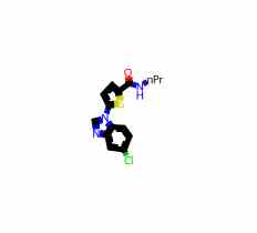 CCCNC(=O)c1ccc(-n2cnc3cc(Cl)ccc32)s1